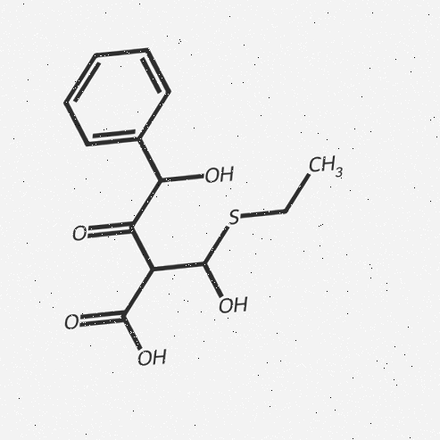 CCSC(O)C(C(=O)O)C(=O)C(O)c1ccccc1